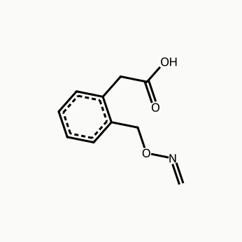 C=NOCc1ccccc1CC(=O)O